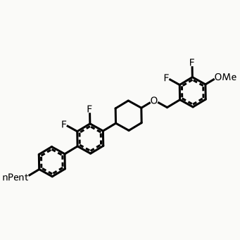 CCCCCc1ccc(-c2ccc(C3CCC(OCc4ccc(OC)c(F)c4F)CC3)c(F)c2F)cc1